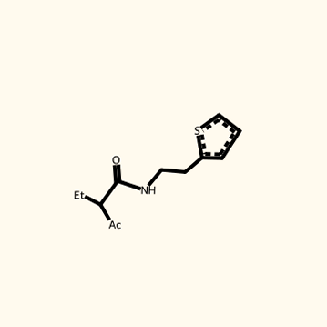 CCC(C(C)=O)C(=O)NCCc1cccs1